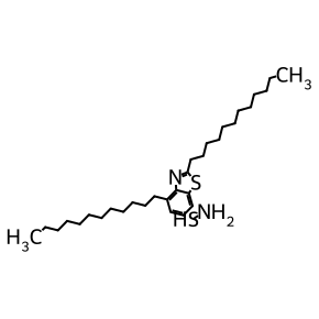 CCCCCCCCCCCCc1nc2c(CCCCCCCCCCCC)cccc2s1.NS